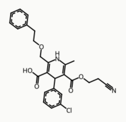 CC1=C(C(=O)OCCC#N)C(c2cccc(Cl)c2)C(C(=O)O)=C(COCCc2ccccc2)N1